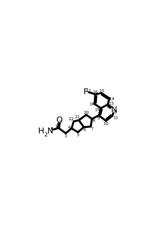 NC(=O)CC1CC2CC(c3ccnc4ccc(F)cc34)CC2C1